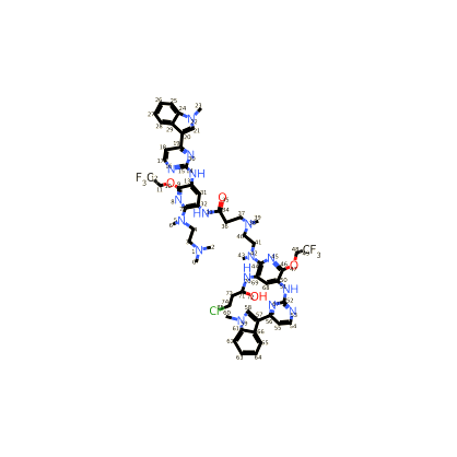 CN(C)CCN(C)c1nc(OCC(F)(F)F)c(Nc2nccc(-c3cn(C)c4ccccc34)n2)cc1NC(=O)CCN(C)CCN(C)c1nc(OCC(F)(F)F)c(Nc2nccc(-c3cn(C)c4ccccc34)n2)cc1NC(O)CCCl